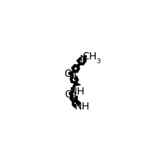 CN1CCC(c2ccc(C(=O)N3CCC4(CC3)CC4CNC(=O)N3C=C4C=CNC=C4C3)cc2)CC1